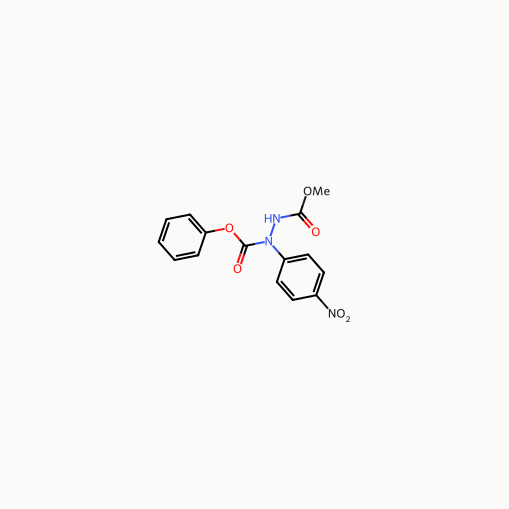 COC(=O)NN(C(=O)Oc1ccccc1)c1ccc([N+](=O)[O-])cc1